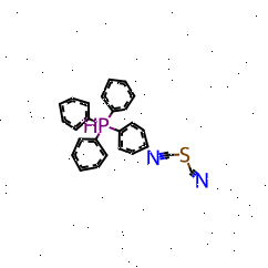 N#CSC#N.c1ccc([PH](c2ccccc2)(c2ccccc2)c2ccccc2)cc1